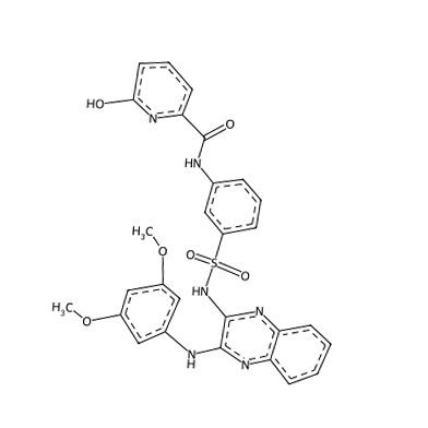 COc1cc(Nc2nc3ccccc3nc2NS(=O)(=O)c2cccc(NC(=O)c3cccc(O)n3)c2)cc(OC)c1